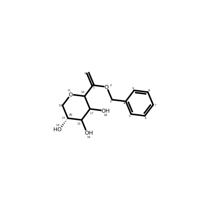 C=C(OCc1ccccc1)C1OC[C@@H](O)C(O)C1O